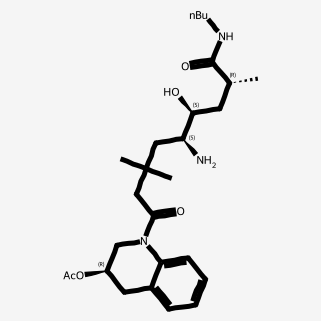 CCCCNC(=O)[C@H](C)C[C@H](O)[C@@H](N)CC(C)(C)CC(=O)N1C[C@H](OC(C)=O)Cc2ccccc21